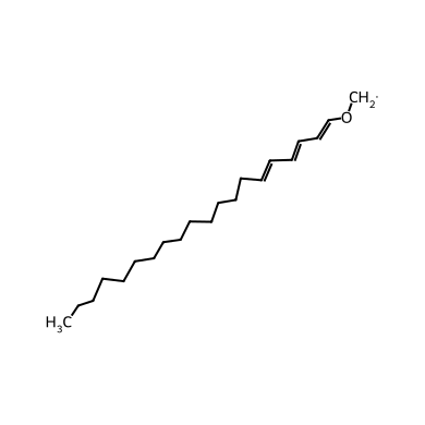 [CH2]OC=CC=CC=CCCCCCCCCCCCCCC